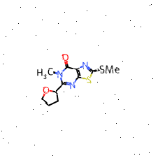 CSc1nc2c(=O)n(C)c(C3CCCO3)nc2s1